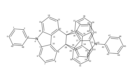 c1ccc(-n2c3cccc4c3c3c(cccc32)C23c5cccc6cccc(c56)C42c2cccc4c2c2c3cccc2n4-c2ccccc2)cc1